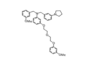 COc1cccc(CN(Cc2cccc(N3CCCC3)c2)c2cccc(OCCOCCOc3cccc(OC)c3)c2)c1